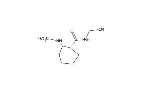 N#CCNC(=O)[C@@H]1CCCC[C@@H]1NC(=O)O